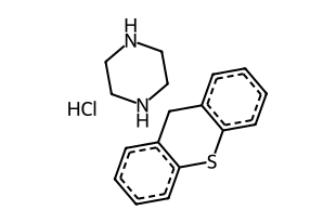 C1CNCCN1.Cl.c1ccc2c(c1)Cc1ccccc1S2